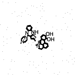 CN1CCc2cccc3c2[C@H]1Cc1ccc(O)c(O)c1-3.Cc1cc2c(s1)Nc1ccccc1N=C2N1CCN(C)CC1